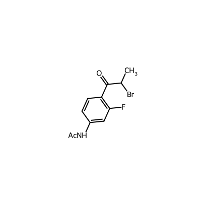 CC(=O)Nc1ccc(C(=O)C(C)Br)c(F)c1